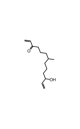 C=CC(=O)CCCC(C)CCCC(O)C=C